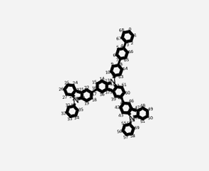 c1ccc(-c2ccc(-c3ccc(-n4c5ccc(-c6ccc7c(c6)c6ccccc6n7-c6ccccc6)cc5c5cc(-c6ccc7c(c6)c6ccccc6n7-c6ccccc6)ccc54)cc3)cc2)cc1